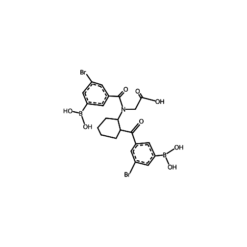 O=C(O)CN(C(=O)c1cc(Br)cc(B(O)O)c1)C1CCCCC1C(=O)c1cc(Br)cc(B(O)O)c1